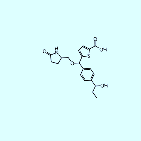 CCC(O)c1ccc(C(OCC2CCC(=O)N2)c2ccc(C(=O)O)s2)cc1